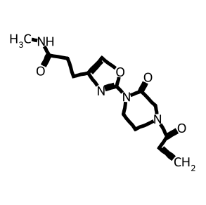 C=CC(=O)N1CCN(c2nc(CCC(=O)NC)co2)C(=O)C1